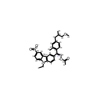 CCn1c2ccc(/C(=N\OC(C)=O)c3ccc(CC(C)COC)cc3C)cc2c2cc([N+](=O)[O-])ccc21